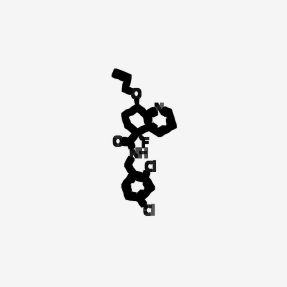 C=CCO[C@@H]1CC[C@](F)(C(=O)NCc2ccc(Cl)cc2Cl)c2cccnc21